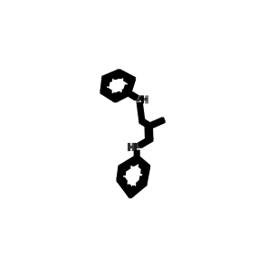 CC(=CPc1ccccc1)CPc1ccccc1